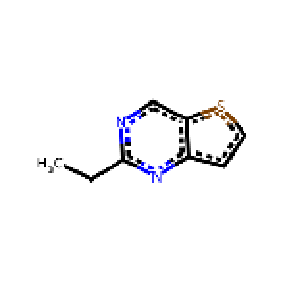 CCc1ncc2sccc2n1